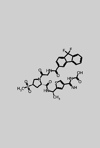 C[C@@H](NC(=O)[C@@H]1C[C@@H](S(C)(=O)=O)CN1C(=O)CNC(=O)c1ccc2c(c1)-c1ccccc1C2(F)F)c1cc(C(=N)NC(=O)O)cs1